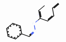 C=C/C=C\C(=C/C)N/N=C\c1ccccc1